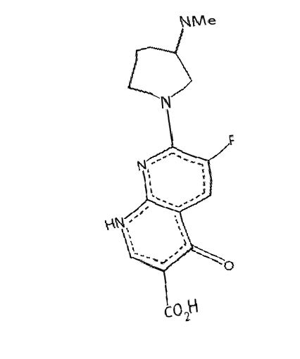 CNC1CCN(c2nc3[nH]cc(C(=O)O)c(=O)c3cc2F)C1